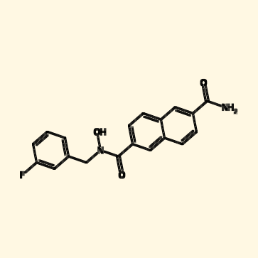 NC(=O)c1ccc2cc(C(=O)N(O)Cc3cccc(F)c3)ccc2c1